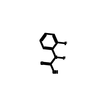 O=C(O)N(F)c1ccccc1F